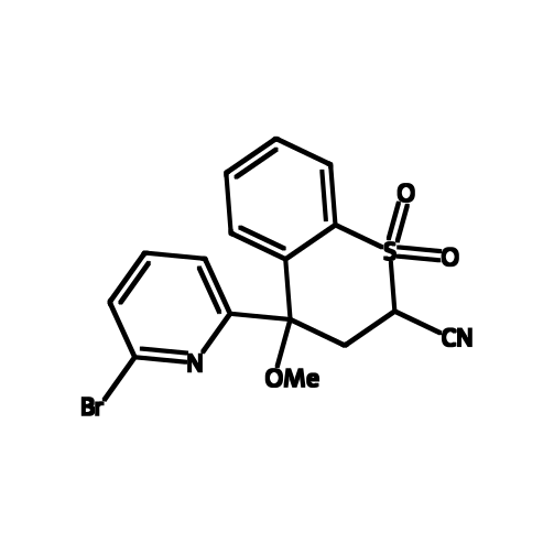 COC1(c2cccc(Br)n2)CC(C#N)S(=O)(=O)c2ccccc21